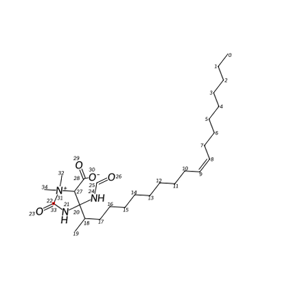 CCCCCCCC/C=C\CCCCCCCCC(C)C(NC=O)(NC=O)C(C(=O)[O-])[N+](C)(C)C